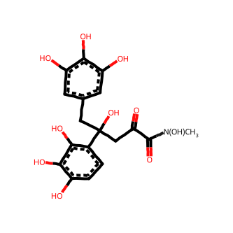 CN(O)C(=O)C(=O)CC(O)(Cc1cc(O)c(O)c(O)c1)c1ccc(O)c(O)c1O